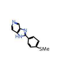 CSc1ccc(-c2nc3cnccc3[nH]2)cc1